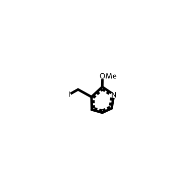 COc1ncccc1CI